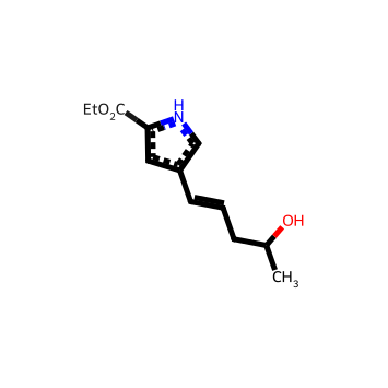 CCOC(=O)c1cc(/C=C/CC(C)O)c[nH]1